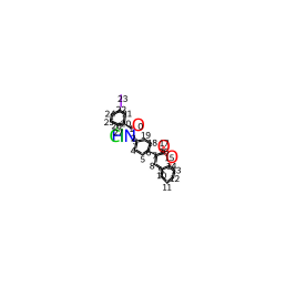 O=C(Nc1ccc(-c2cc3ccccc3oc2=O)cc1)c1cc(I)ccc1Cl